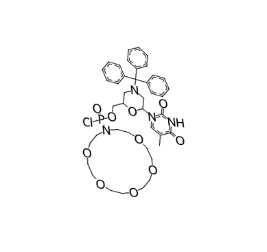 Cc1cn(C2CN(C(c3ccccc3)(c3ccccc3)c3ccccc3)CC(COP(=O)(Cl)N3CCOCCOCCOCCOCCOCC3)O2)c(=O)[nH]c1=O